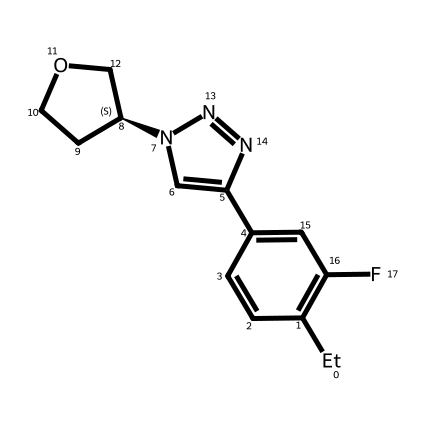 CCc1ccc(-c2cn([C@H]3CCOC3)nn2)cc1F